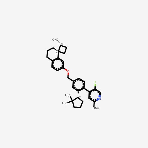 COc1cc(-c2ccc(COc3ccc4c(c3)[C@@]3(CCC4)CC[C@H]3C=O)cc2[C@@H]2CCCC2(C)C)c(F)cn1